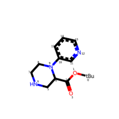 CC(C)(C)OC(=O)C1CNCCN1c1[c]nccc1